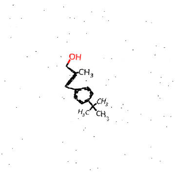 C/C(=C\c1ccc(C(C)(C)C)cc1)CO